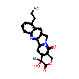 CCC1(O)C(=O)OCc2c1cc1n(c2=O)Cc2cc3c(CCC(C)=O)cccc3nc2-1